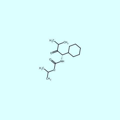 CC(C)OC(=O)N[C@H](C(=O)C(C)C)C1CCCCC1